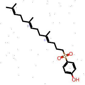 CC(C)=CCC/C(C)=C/CC/C(C)=C/CCCS(=O)(=O)c1ccc(O)cc1